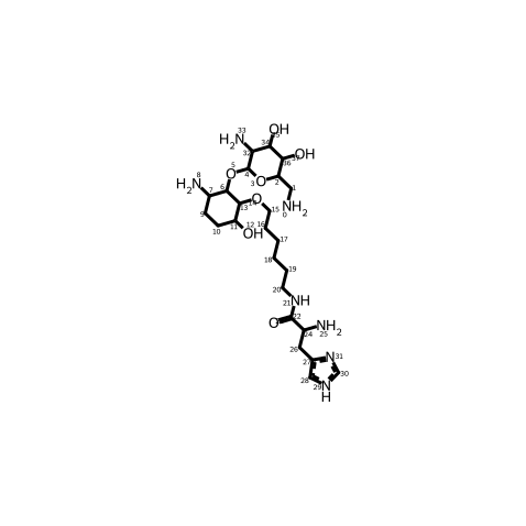 NCC1OC(OC2C(N)CCC(O)C2OCCCCCCNC(=O)C(N)Cc2c[nH]cn2)C(N)C(O)C1O